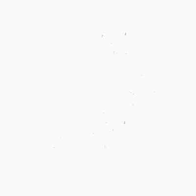 CC(C)(C=O)COCOC(=O)CC(NC(=O)CNC(=O)c1cccc(NC(=N)N)c1)c1cc(Cl)cc(Cl)c1